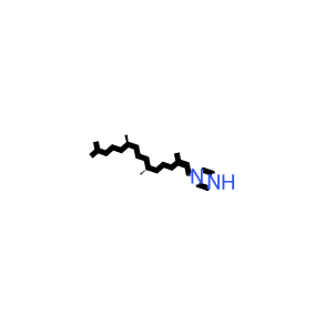 CC(=CCN1CCNCC1)CCC[C@H](C)CCC[C@H](C)CCCC(C)C